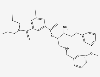 CCCN(CCC)C(=O)c1cc(C)cc(C(=O)OC(CNCc2cccc(OC)c2)C(N)CSc2ccccc2)c1